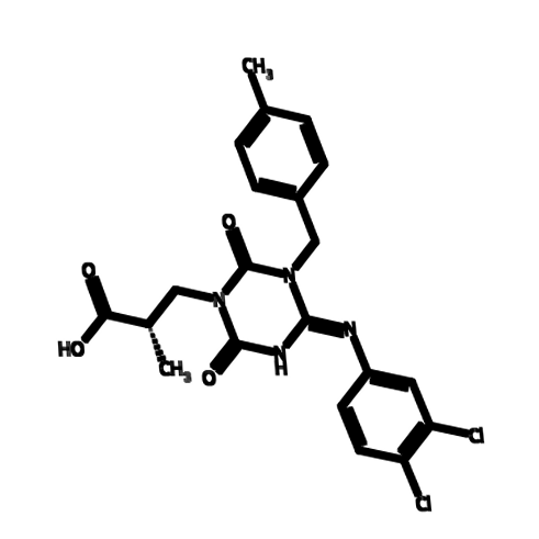 Cc1ccc(Cn2c(=O)n(C[C@H](C)C(=O)O)c(=O)[nH]/c2=N\c2ccc(Cl)c(Cl)c2)cc1